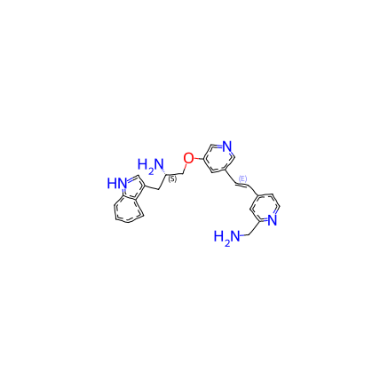 NCc1cc(/C=C/c2cncc(OC[C@@H](N)Cc3c[nH]c4ccccc34)c2)ccn1